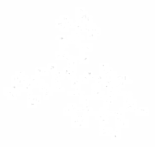 Cc1cc2c3c4c(cccc14)C(C)(C)c1cc(N(c4ccc(C(C)(C)C)cc4)c4ccc(C(C)(C)C)cc4)cc(c1-3)C2(C)C